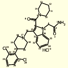 Cl.NC(=O)Cn1c(C(=O)N2CCCCC2)c(CN2CCC(c3c(Cl)cccc3Cl)CC2)c2ccccc21